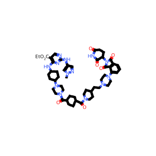 CCOC(=O)c1cnc(Nc2cnn(C)c2)nc1NC1CCC(N2CCN(C(=O)C3CCC(C(=O)N4CCC(CCN5CCN(c6cccc7c6C(=O)N(C6CCC(=O)NC6=O)C7=O)CC5)CC4)CC3)CC2)CC1